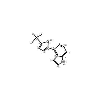 CC(C)(C)c1ccc(-c2cccc3[nH]ccc23)s1